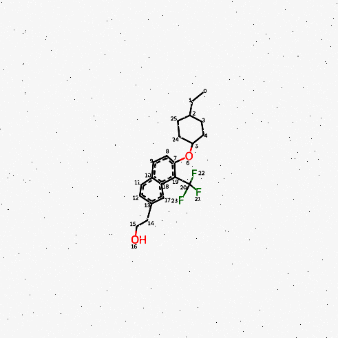 CCC1CCC(Oc2ccc3ccc(CCO)cc3c2C(F)(F)F)CC1